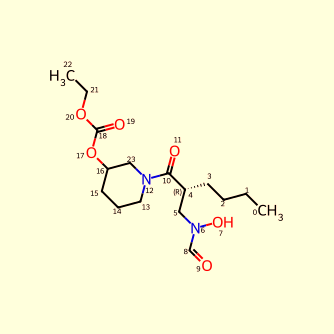 CCCC[C@H](CN(O)C=O)C(=O)N1CCCC(OC(=O)OCC)C1